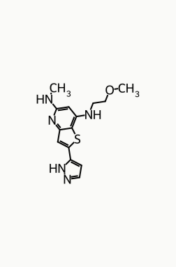 CNc1cc(NCCOC)c2sc(-c3ccn[nH]3)cc2n1